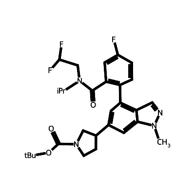 CC(C)N(CC(F)F)C(=O)c1cc(F)ccc1-c1cc(C2CCN(C(=O)OC(C)(C)C)C2)cc2c1cnn2C